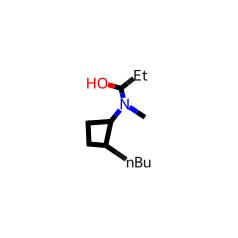 CCCCC1CCC1N(C)C(O)CC